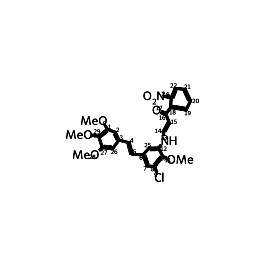 COc1cc(C=Cc2cc(Cl)c(OC)c(NC=CC(=O)c3ccccc3[N+](=O)[O-])c2)cc(OC)c1OC